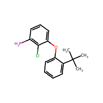 CC(C)(C)c1ccccc1Oc1cccc(P)c1Cl